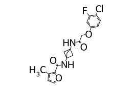 Cc1ccoc1C(=O)NC12CC(NC(=O)COc3ccc(Cl)c(F)c3)(C1)C2